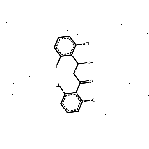 O=C(CC(O)c1c(Cl)cccc1Cl)c1c(Cl)cccc1Cl